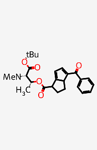 CN[C@H](C(=O)OC(C)(C)C)[C@@H](C)OC(=O)C1CCC2C(C(=O)c3ccccc3)=CC=C12